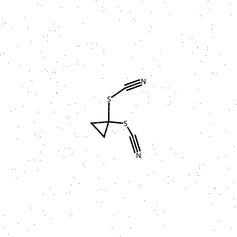 N#CSC1(SC#N)CC1